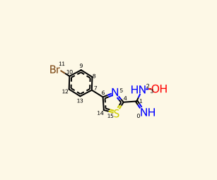 N=C(NO)c1nc(-c2ccc(Br)cc2)cs1